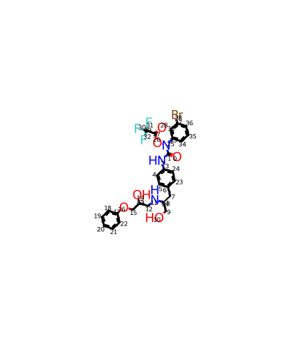 O=C(Nc1ccc(C[C@@H](CO)NC[C@H](O)COc2ccccc2)cc1)N(OC(=O)C(F)(F)F)c1cccc(Br)c1